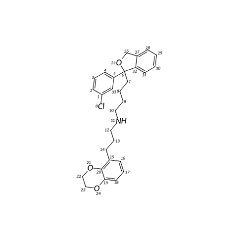 Clc1cccc(C2(CCCCNCCCc3cccc4c3OCCO4)OCc3ccccc32)c1